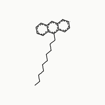 CCCCCCCCCCc1c2cc[c]cc2cc2ccccc12